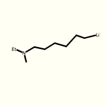 [Li][CH2]CCCCCN(C)CC